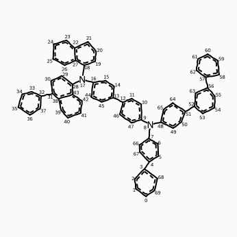 c1ccc(-c2ccc(N(c3ccc(-c4ccc(N(c5cccc6ccccc56)c5ccc(-c6ccccc6)c6ccccc56)cc4)cc3)c3ccc(-c4cccc(-c5ccccc5)c4)cc3)cc2)cc1